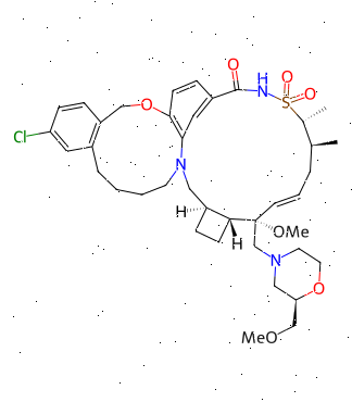 COC[C@H]1CN(C[C@]2(OC)/C=C/C[C@H](C)[C@@H](C)S(=O)(=O)NC(=O)c3ccc4c(c3)N(CCCCc3cc(Cl)ccc3CO4)C[C@@H]3CC[C@H]32)CCO1